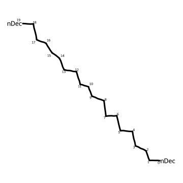 [CH2]CCCCCCCCCCCCCCCCCCCCCCCCCCCCCCCCCCCC[CH2]